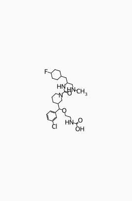 CNCC(CC1CCC(F)CC1)NC(=O)N1CCCC(C(OCCNC(=O)O)c2cccc(Cl)c2)C1